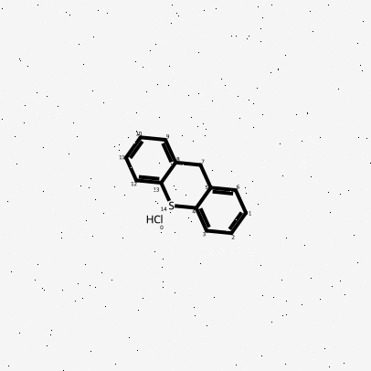 Cl.c1ccc2c(c1)Cc1ccccc1S2